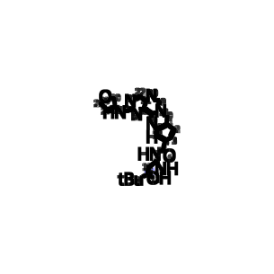 Cc1ccc(C(=O)NC(=N)/C=C(\O)C(C)(C)C)cc1Nc1ncnc2cnc(NC3CCOC3)nc12